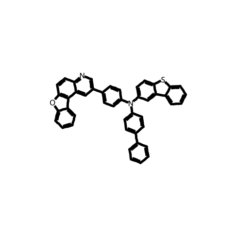 c1ccc(-c2ccc(N(c3ccc(-c4cnc5ccc6oc7ccccc7c6c5c4)cc3)c3ccc4sc5ccccc5c4c3)cc2)cc1